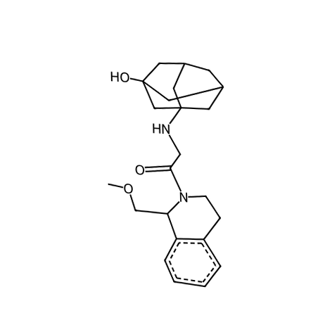 COCC1c2ccccc2CCN1C(=O)CNC12CC3CC(CC(O)(C3)C1)C2